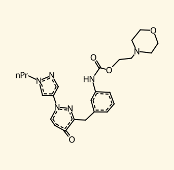 CCCn1cc(-n2ccc(=O)c(Cc3cccc(NC(=O)OCCN4CCOCC4)c3)n2)cn1